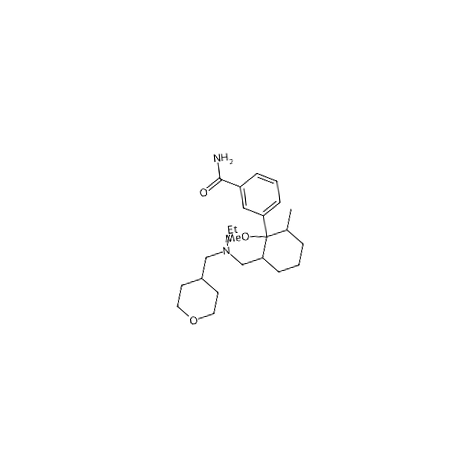 CCN(CC1CCOCC1)CC1CCCC(C)C1(OC)c1cccc(C(N)=O)c1